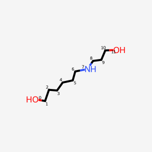 OCCCCCCNCCCO